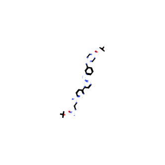 CN(CCCN(C)c1ccc(-c2ccnc(Nc3cccc(CN4CCN(C(=O)OC(C)(C)C)CC4)c3)n2)cn1)C(=O)OC(C)(C)C